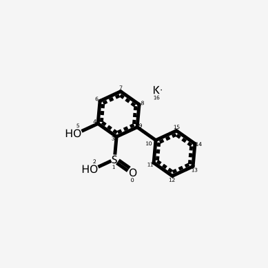 O=S(O)c1c(O)cccc1-c1ccccc1.[K]